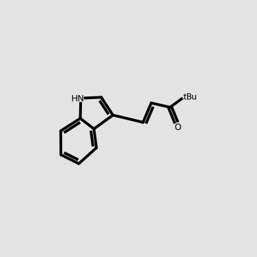 CC(C)(C)C(=O)/C=C/c1c[nH]c2ccccc12